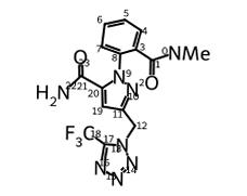 CNC(=O)c1ccccc1-n1nc(Cn2nnnc2C(F)(F)F)cc1C(N)=O